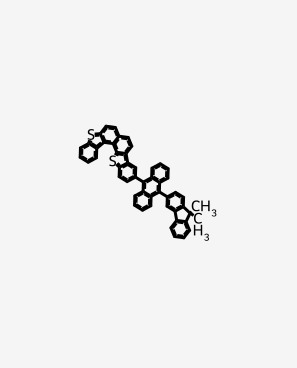 CC1(C)c2ccccc2-c2cc(-c3c4ccccc4c(-c4ccc5sc6c(ccc7ccc8sc9ccccc9c8c76)c5c4)c4ccccc34)ccc21